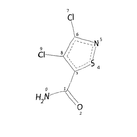 NC(=O)c1snc(Cl)c1Cl